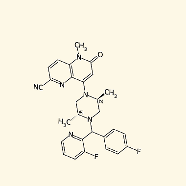 C[C@@H]1CN(c2cc(=O)n(C)c3ccc(C#N)nc23)[C@@H](C)CN1C(c1ccc(F)cc1)c1ncccc1F